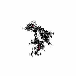 C[C@@H](O)[C@H](NC(=O)COCCOCCNC(=O)CCN(CCC(=O)NCCOCCOCC(=O)N[C@H](C(=O)N[C@@H](CCCCN)C(=O)N1CCC[C@H]1C(=O)N1CCC[C@H]1C(=O)N[C@@H](CCCNC(=N)N)C(=O)O)[C@@H](C)O)C(=O)c1ccc2c(c1)C(=O)OC21c2cc(F)c(O)cc2Oc2cc(O)c(F)cc21)C(=O)N[C@@H](CCCCN)C(=O)N1CCC[C@H]1C(=O)N1CCC[C@H]1C(=O)N[C@@H](CCCNC(=N)N)C(=O)O